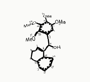 COc1cc(C(O)C2=CCCc3ccccc32)c(OC)c(OC)c1OC